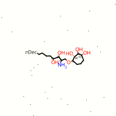 CCCCCCCCCCCCCC[C@H](O)[C@H](O)[C@H](N)CO[C@H]1CCC[C@H](O)[C@H](O)[C@H]1O